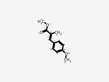 COC(=O)/C(C)=C/c1ccc(OC)cc1